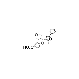 Cc1oc(-c2ccccc2)cc1C(Oc1ccc(C(=O)O)cc1)C1CCOCC1